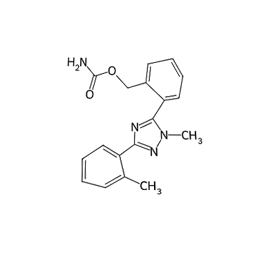 Cc1ccccc1-c1nc(-c2ccccc2COC(N)=O)n(C)n1